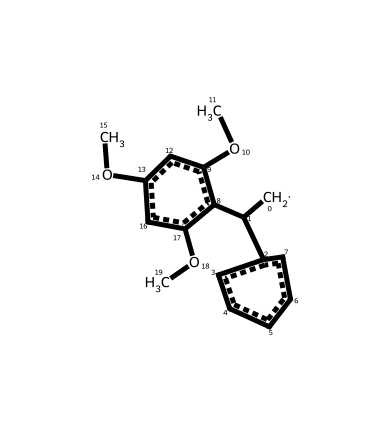 [CH2]C(c1ccccc1)c1c(OC)cc(OC)cc1OC